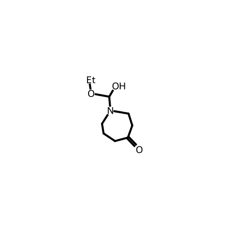 CCOC(O)N1CCCC(=O)CC1